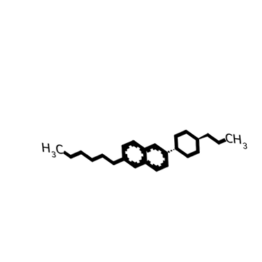 CCCCCCc1ccc2cc([C@H]3CC[C@H](CCC)CC3)ccc2c1